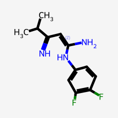 CC(C)C(=N)/C=C(/N)Nc1ccc(F)c(F)c1